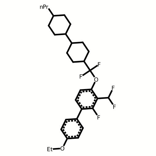 CCCC1CCC(C2CCC(C(F)(F)Oc3ccc(-c4ccc(OCC)cc4)c(F)c3C(F)F)CC2)CC1